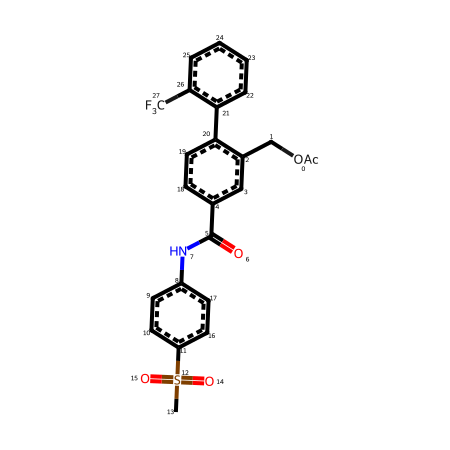 CC(=O)OCc1cc(C(=O)Nc2ccc(S(C)(=O)=O)cc2)ccc1-c1ccccc1C(F)(F)F